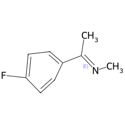 C/N=C(\C)c1ccc(F)cc1